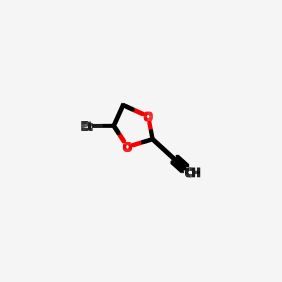 C#CC1OCC(CC)O1